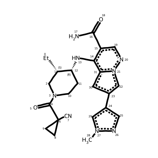 CC[C@H]1CN(C(=O)C2(C#N)CC2)CC[C@H]1Nc1c(C(N)=O)cnn2cc(-c3cnn(C)c3)cc12